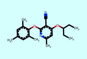 CCC(CC)Oc1cc(C)nc(Oc2c(C)cc(C)cc2C)c1C#N